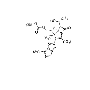 CCCCOC(=O)OCC[C@@]1(C)C(c2cn3cnc(SC)c3s2)=C(C(=O)O)N2C(=O)[C@H]([C@@H](C)O)[C@@H]21